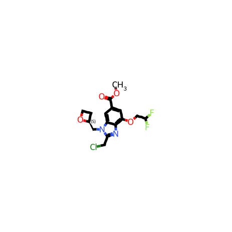 COC(=O)c1cc(OCC(F)F)c2nc(CCl)n(C[C@@H]3CCO3)c2c1